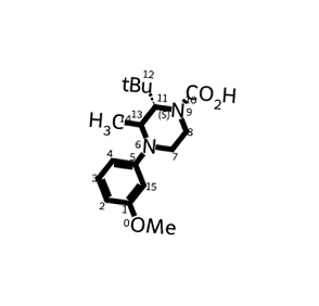 COc1cccc(N2CCN(C(=O)O)[C@@H](C(C)(C)C)C2C)c1